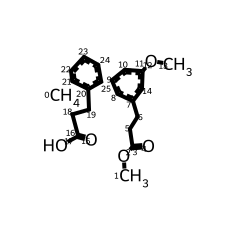 C.COC(=O)CCc1cccc(OC)c1.O=C(O)CCc1ccccc1